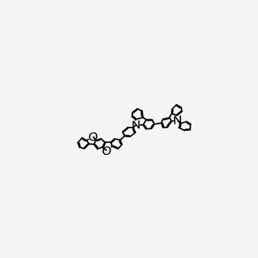 c1ccc(-n2c3ccccc3c3cc(-c4ccc5c(c4)c4ccccc4n5-c4ccc(-c5ccc6oc7cc8c(cc7c6c5)oc5ccccc58)cc4)ccc32)cc1